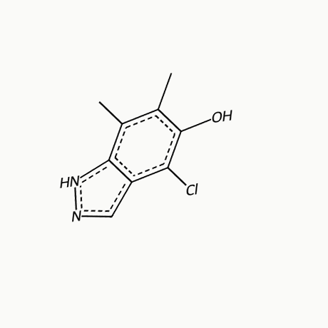 Cc1c(O)c(Cl)c2cn[nH]c2c1C